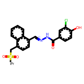 CC(C)S(=O)(=O)Cc1ccc(/C=N/NC(=O)c2ccc(O)c(Cl)c2)c2ccccc12